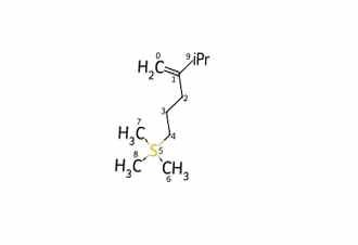 C=C(CCCS(C)(C)C)C(C)C